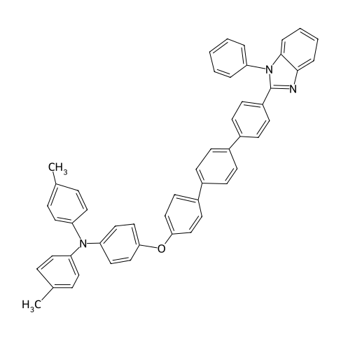 Cc1ccc(N(c2ccc(C)cc2)c2ccc(Oc3ccc(-c4ccc(-c5ccc(-c6nc7ccccc7n6-c6ccccc6)cc5)cc4)cc3)cc2)cc1